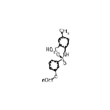 CCCCCCCCOc1cccc(S(=O)(=O)Nc2ccc(C)cc2C(=O)O)c1